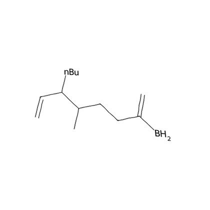 BC(=C)CCC(C)C(C=C)CCCC